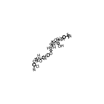 Cc1ncsc1-c1ccc([C@H](C)NC(=O)[C@@H]2C[C@@H](O)CN2C(=O)[C@@H](NC(=O)CN[C@H]2C[C@H](OC3CCN(c4ccc(C(=O)N[C@H]5C(C)(C)[C@H](Oc6ccc(C#N)c(Cl)c6)C5(C)C)cn4)CC3)C2)C(C)(C)C)cc1